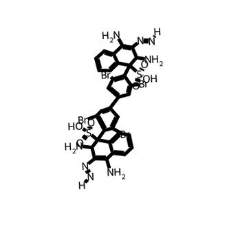 [H]/N=N/C1=C(N)c2ccccc2C(c2c(Br)cc(-c3cc(Br)c(C4(S(=O)(=O)O)c5ccccc5C(N)=C(/N=N/[H])C4N)c(Br)c3)cc2Br)(S(=O)(=O)O)C1N